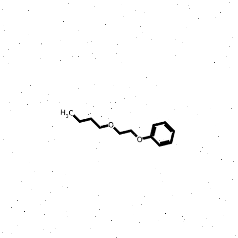 CCCCOCCOc1ccccc1